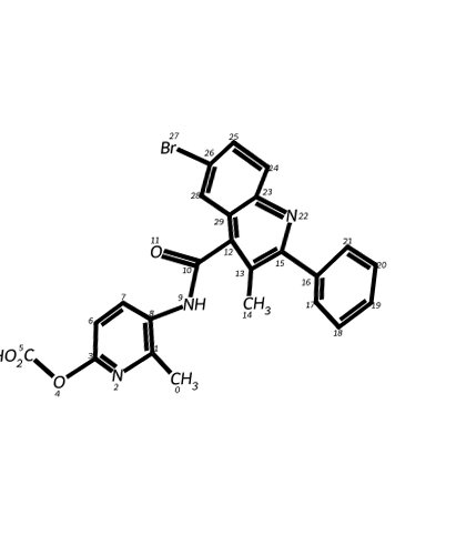 Cc1nc(OC(=O)O)ccc1NC(=O)c1c(C)c(-c2ccccc2)nc2ccc(Br)cc12